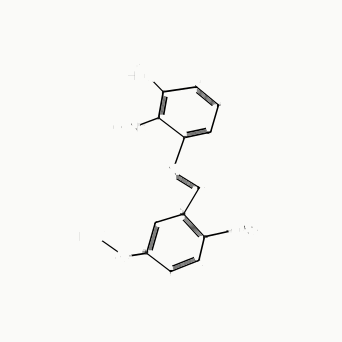 COc1ccc(OC(F)(F)F)cc1C=Nc1cccc(C)c1[N+](=O)[O-]